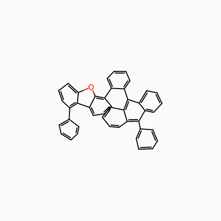 c1ccc(-c2c3ccccc3c(-c3ccccc3-c3cccc4c3oc3cccc(-c5ccccc5)c34)c3ccccc23)cc1